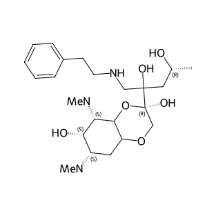 CN[C@H]1CC2OC[C@](O)(C(O)(CNCCc3ccccc3)C[C@@H](C)O)OC2[C@@H](NC)[C@H]1O